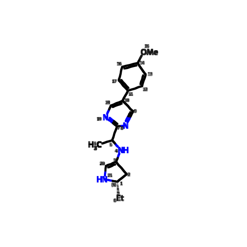 CC[C@H]1CC(NC(C)c2ncc(-c3ccc(OC)cc3)cn2)=CN1